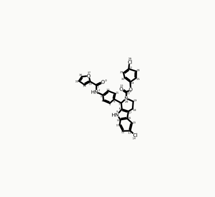 O=C(Nc1ccc(C2c3[nH]c4ccc(Cl)cc4c3CCN2C(=O)Oc2ccc(Cl)cc2)cc1)c1ccco1